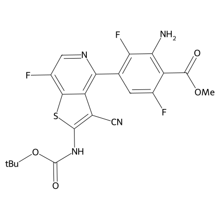 COC(=O)c1c(F)cc(-c2ncc(F)c3sc(NC(=O)OC(C)(C)C)c(C#N)c23)c(F)c1N